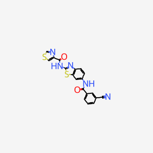 N#Cc1cccc(C(=O)Nc2ccc3nc(NC(=O)c4cscn4)sc3c2)c1